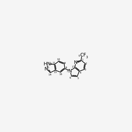 FC(F)(F)c1ccc2ccn(-c3ccc4[nH]ncc4c3)c2n1